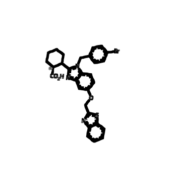 O=C(O)[C@H]1CCCCC1c1nc2cc(OCc3nc4ccccc4s3)ccc2n1Cc1ccc(Br)cc1